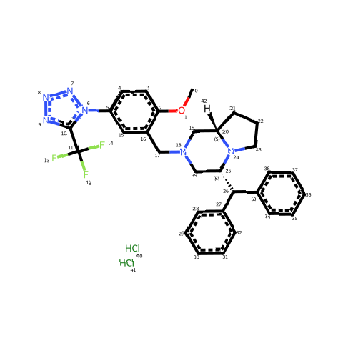 COc1ccc(-n2nnnc2C(F)(F)F)cc1CN1C[C@@H]2CCCN2[C@H](C(c2ccccc2)c2ccccc2)C1.Cl.Cl